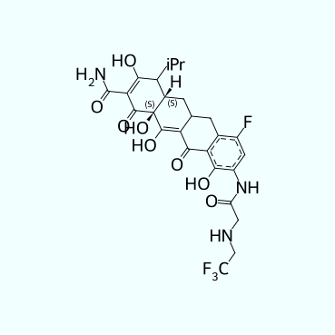 CC(C)C1C(O)=C(C(N)=O)C(=O)[C@@]2(O)C(O)=C3C(=O)c4c(O)c(NC(=O)CNCC(F)(F)F)cc(F)c4CC3C[C@@H]12